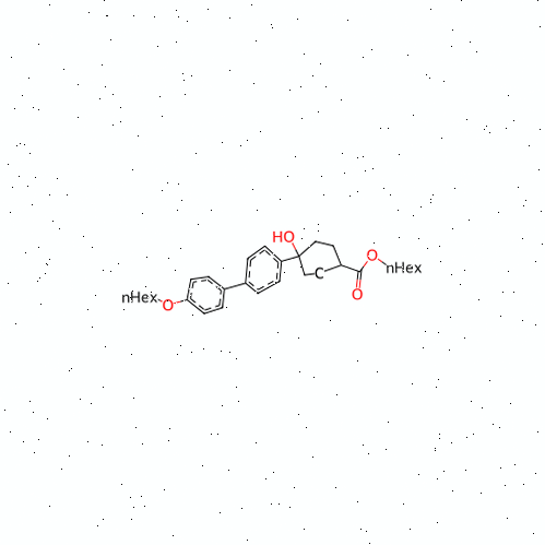 CCCCCCOC(=O)C1CCC(O)(c2ccc(-c3ccc(OCCCCCC)cc3)cc2)CC1